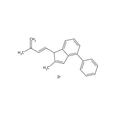 C=C(C)C=CC1C(C)=Cc2c(-c3ccccc3)cccc21.[Zr]